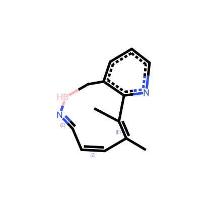 CC1=C(/C)c2ncccc2CB/N=C/C=C\1